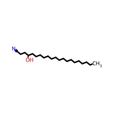 CCCCCCCCCCCCCCCCCC(O)CCC#N